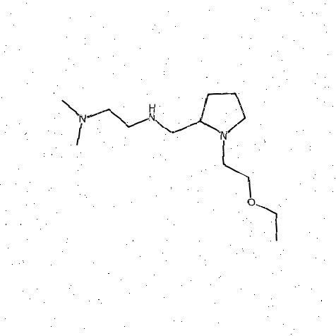 CCOCCN1CCCC1CNCCN(C)C